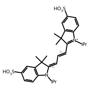 CC(C)N1/C(=C/C=C/C2=[N+](C(C)C)c3ccc(S(=O)(=O)O)cc3C2(C)C)C(C)(C)c2cc(S(=O)(=O)O)ccc21